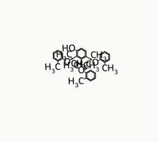 Cc1ccccc1OC(C)(C)c1ccc(O)c(C(C)(C)Oc2ccccc2C)c1C(C)(C)Oc1ccccc1C